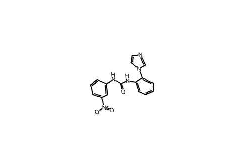 O=C(Nc1cccc([N+](=O)[O-])c1)Nc1ccccc1-n1ccnc1